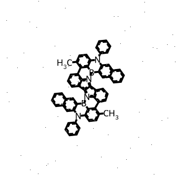 Cc1ccc2c3c1-c1cccc4c1n(c1c5cccc6c5n(c41)B1c4cc5ccccc5cc4N(c4ccccc4)c4ccc(C)c-6c41)B3c1cc3ccccc3cc1N2c1ccccc1